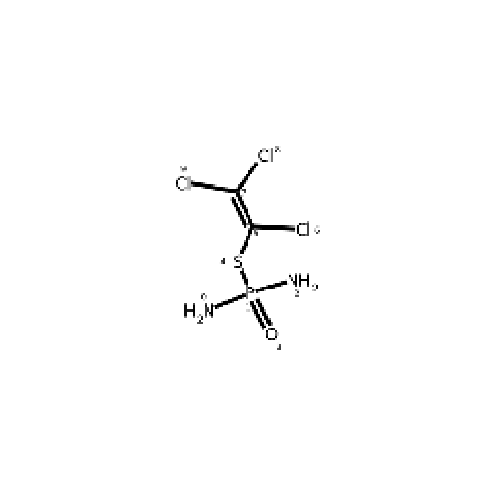 NP(N)(=O)SC(Cl)=C(Cl)Cl